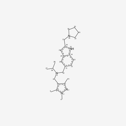 Cc1nn(C)c(C)c1CN(Cc1ccc2[nH]c(CN3CCCC3)cc2c1)C(C)C